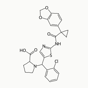 O=C(O)C1CCCN1C(c1cnc(NC(=O)C2(c3ccc4c(c3)OCO4)CC2)s1)c1ccccc1Cl